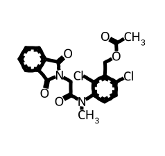 CC(=O)OCc1c(Cl)ccc(N(C)C(=O)CN2C(=O)c3ccccc3C2=O)c1Cl